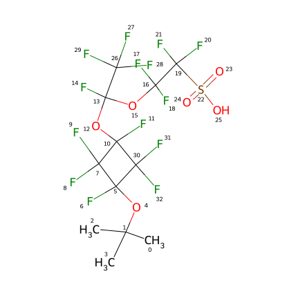 CC(C)(C)OC1(F)C(F)(F)C(F)(OC(F)(OC(F)(F)C(F)(F)S(=O)(=O)O)C(F)(F)F)C1(F)F